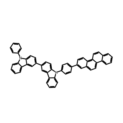 c1ccc(-n2c3ccccc3c3cc(-c4ccc5c(c4)c4ccccc4n5-c4ccc(-c5ccc6c(ccc7c8ccccc8ccc67)c5)cc4)ccc32)cc1